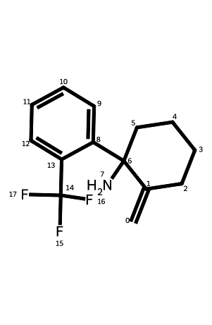 C=C1CCCCC1(N)c1ccccc1C(F)(F)F